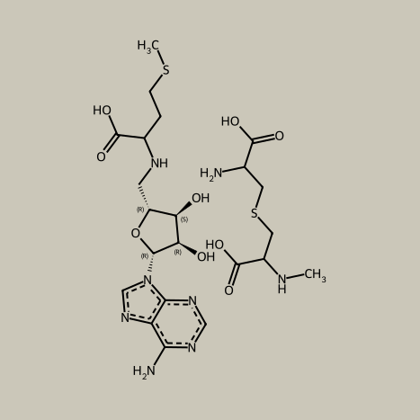 CNC(CSCC(N)C(=O)O)C(=O)O.CSCCC(NC[C@H]1O[C@@H](n2cnc3c(N)ncnc32)[C@H](O)[C@@H]1O)C(=O)O